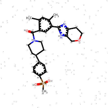 Cc1cc(C)c(-c2nc3c([nH]2)COCC3)cc1C(=O)N1CCC(c2ccc(S(C)(=O)=O)cc2)CC1